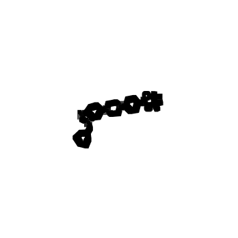 CC1(C)OB(c2ccc(N3CCN(c4ccc5ncn(Cc6ccccc6)c5c4)CC3)cc2)OC1(C)C